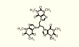 Cn1c(=O)c2c(ncn2CC(Cn2cnc3c2c(=O)n(C)c(=O)n3C)Cn2cnc3c2c(=O)n(C)c(=O)n3C)n(C)c1=O